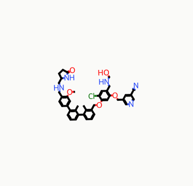 COc1cc(-c2cccc(-c3cccc(COc4cc(OCc5cncc(C#N)c5)c(CNCO)cc4Cl)c3C)c2C)ccc1CNCC1CCC(=O)N1